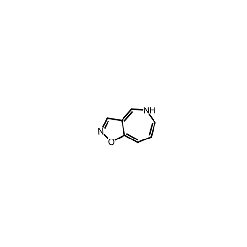 C1=CNC=c2cnoc2=C1